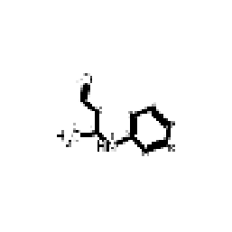 CC(CC=O)Nc1cc[c]cc1